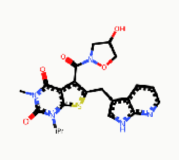 CC(C)n1c(=O)n(C)c(=O)c2c(C(=O)N3CC(O)CO3)c(Cc3c[nH]c4ncccc34)sc21